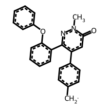 [CH2]c1ccc(-c2cc(=O)n(C)nc2-c2ccccc2Oc2ccccc2)cc1